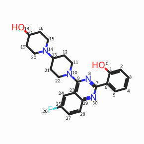 Oc1ccccc1-c1nc(N2CCC(N3CCC(O)CC3)CC2)c2cc(F)ccc2n1